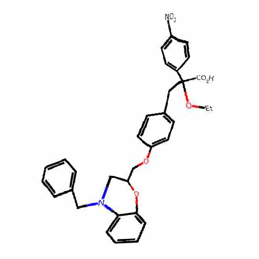 CCOC(Cc1ccc(OCC2CN(Cc3ccccc3)c3ccccc3O2)cc1)(C(=O)O)c1ccc([N+](=O)[O-])cc1